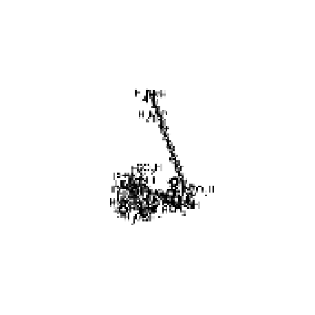 CC(C)C[C@H](NC(=O)[C@H](Cc1c[nH]cn1)NC(=O)[C@H](Cc1c[nH]c2ccccc12)NC(=O)[C@H](C)NC(=O)[C@H](CS)NC(=O)[C@H](CC(=O)O)NC(=O)CCOCCOCCOCCOCCOCCOCCNC(=O)[C@H](N)CCCNC(=N)N)C(=O)NCC(=O)N[C@@H](CCC(=O)O)C(=O)N[C@@H](CC(C)C)C(=O)N[C@H](C(=O)N[C@@H](Cc1c[nH]c2ccccc12)C(=O)N[C@@H](CS)C(=O)N[C@H](C(=O)O)[C@@H](C)O)C(C)C